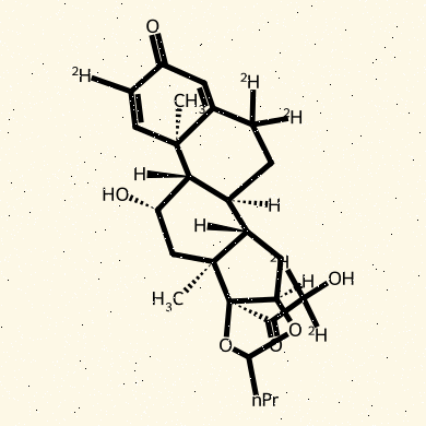 [2H]C1=C[C@@]2(C)C(=CC1=O)C([2H])([2H])C[C@@H]1[C@@H]2[C@@H](O)C[C@@]2(C)[C@H]1C[C@H]1OC(CCC)O[C@]12C(=O)C([2H])([2H])O